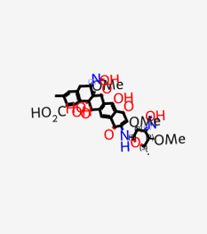 CO[C@@H]1/C(=N/O)[C@@H](OC)[C@@H](NC2=CC(=O)c3c(cc4c(c3O)C(=O)C3(OC)/C(=N\O)Cc5cc(C)c(C(=O)O)c(O)c5C3(O)C4=O)C2=O)O[C@H]1C